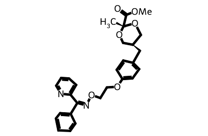 COC(=O)[C@]1(C)OC[C@@H](Cc2ccc(OCCO/N=C(/c3ccccc3)c3ccccn3)cc2)CO1